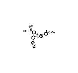 COc1ccc(C23CCC(CN(c4cc(-c5cnn(C6(C)CCC6)c5)ccn4)C(=O)[C@H]4CC[C@H](N(CCO)C(=O)O)CC4)(CC2)CC3)cc1C